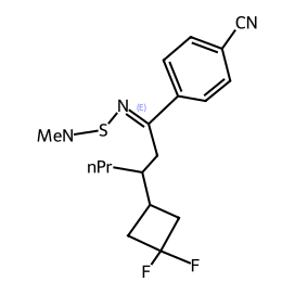 CCCC(C/C(=N\SNC)c1ccc(C#N)cc1)C1CC(F)(F)C1